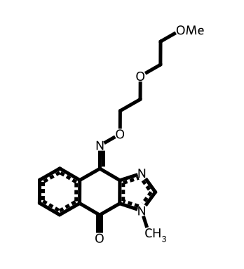 COCCOCCON=C1c2ccccc2C(=O)c2c1ncn2C